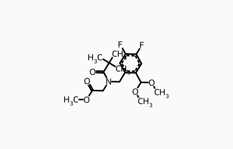 COC(=O)CN(Cc1cc(F)c(F)cc1C(OC)OC)C(=O)C(C)(C)C